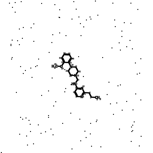 CCCc1nccc(NCN2CCN(c3ccccc3OC)CC2)n1